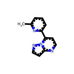 Cc1cccc(-c2ccnc3ccnn23)n1